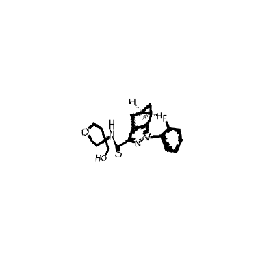 O=C(NC1(CO)CCOCC1)c1nn(-c2ccccc2F)c2c1C[C@H]1C[C@@H]21